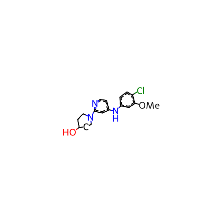 COc1cc(Nc2ccnc(N3CCC(O)CC3)c2)ccc1Cl